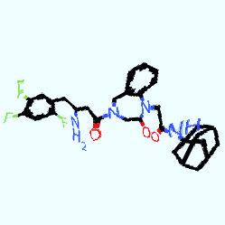 NC(CC(=O)N1CC(=O)N(CC(=O)NC23CC4CC(CC(C4)C2)C3)c2ccccc2C1)Cc1cc(F)c(F)cc1F